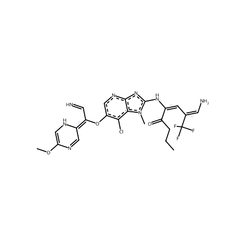 CCCC(=O)/C(=C\C(=C/N)C(F)(F)F)Nc1nc2ncc(O/C(C=N)=C3\C=NC(OC)=CN3)c(Cl)c2n1C